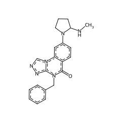 CNC1CCCN1c1ccc2c(=O)n(Cc3ccccc3)c3nncn3c2c1